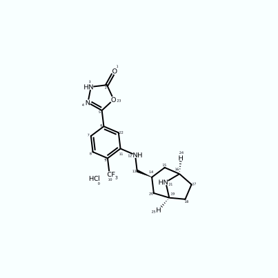 Cl.O=c1[nH]nc(-c2ccc(C(F)(F)F)c(NC[C@H]3C[C@H]4CC[C@@H](C3)N4)c2)o1